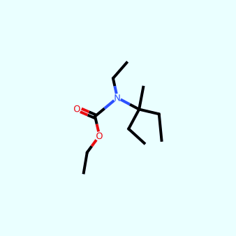 CCOC(=O)N(CC)C(C)(CC)CC